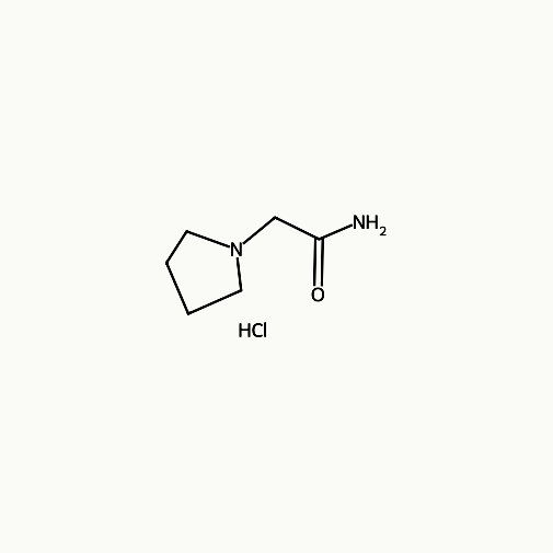 Cl.NC(=O)CN1CCCC1